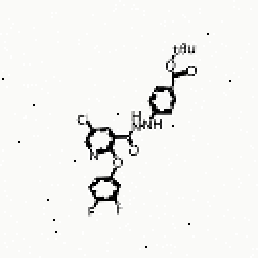 CC(C)(C)OC(=O)c1ccc(NNC(=O)c2cc(Cl)cnc2Oc2ccc(F)c(F)c2)cc1